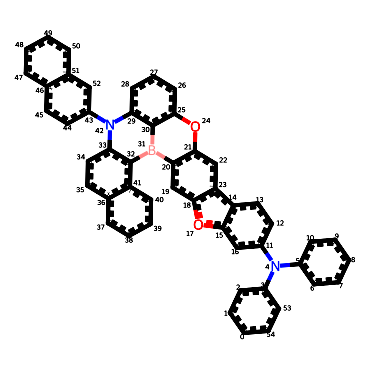 c1ccc(N(c2ccccc2)c2ccc3c(c2)oc2cc4c(cc23)Oc2cccc3c2B4c2c(ccc4ccccc24)N3c2ccc3ccccc3c2)cc1